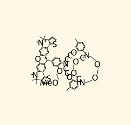 COCCOc1cc(C2=c3cc4c(cc3Oc3cc5c(cc32)-c2sccc2C(C)(C)N5C)=[N+](C)C(C)(C)c2ccsc2-4)ccc1N1CCOc2cc(C)ccc2N2CCOCCOCCN(CCOCCOCC2)c2ccc(C)cc2OCC1